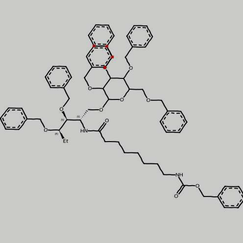 CC[C@@H](OCc1ccccc1)[C@@H](OCc1ccccc1)[C@H](COC1OC(COCc2ccccc2)C(OCc2ccccc2)C(OCc2ccccc2)C1OCc1ccccc1)NC(=O)CCCCCCCNC(=O)OCc1ccccc1